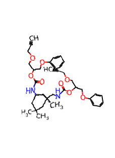 C#CCOCC(COc1ccccc1)OC(=O)NCC1(C)CC(NC(=O)OC(COCC#C)COc2ccccc2)CC(C)(C)C1